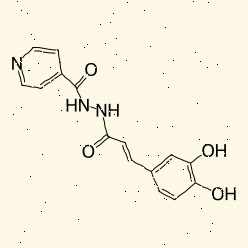 O=C(/C=C/c1ccc(O)c(O)c1)NNC(=O)c1ccncc1